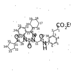 CCOC(=O)CCc1cccc(NC(=O)CN2N=C(C3CCCCC3)c3ccccc3N(CC(=O)C3CCCC3)C2=O)c1